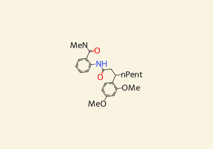 CCCCCC(CC(=O)Nc1ccccc1C(=O)NC)c1ccc(OC)cc1OC